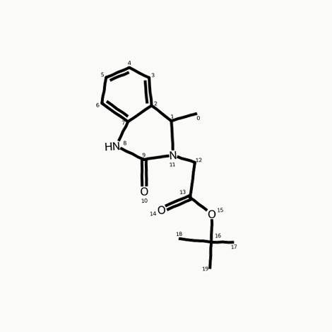 CC1c2ccccc2NC(=O)N1CC(=O)OC(C)(C)C